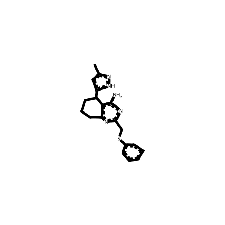 Cc1cc(C2CCCc3nc(CSc4ccccc4)nc(N)c32)[nH]n1